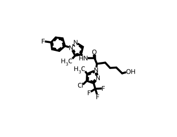 Cc1c(NC(=O)C(CCCCO)n2nc(C(F)(F)F)c(Cl)c2C)cnn1-c1ccc(F)cc1